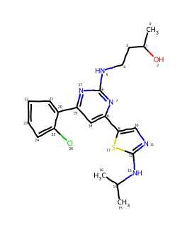 CC(O)CCNc1nc(-c2cnc(NC(C)C)s2)cc(-c2ccccc2Cl)n1